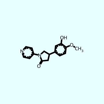 COc1ccc(C2CC(=O)N(c3ccncc3)C2)cc1O